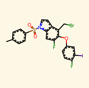 Cc1ccc(S(=O)(=O)n2ccc3c(CBr)c(Oc4ccc(F)c(I)c4)c(F)cc32)cc1